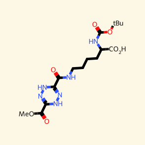 COC(=O)C1=NNC(C(=O)NCCCCC(NC(=O)OC(C)(C)C)C(=O)O)=NN1